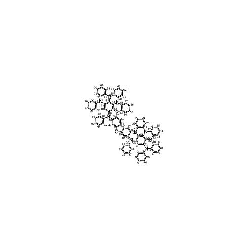 c1ccc(N2c3ccccc3B3c4ccccc4N4c5ccccc5B5c6cc7c(cc6N(c6ccccc6)c6cc2c3c4c65)oc2cc3c(cc27)B2c4ccccc4N4c5ccccc5B5c6ccccc6N(c6ccccc6)c6cc(c2c4c65)N3c2ccccc2)cc1